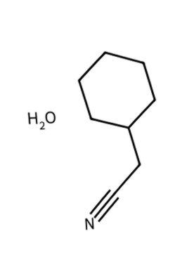 N#CCC1CCCCC1.O